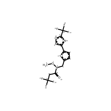 CON(Cc1ccc(-c2noc(C(F)(F)F)n2)s1)C(=O)CC(F)(F)F